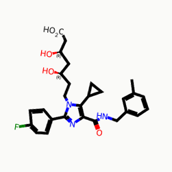 Cc1cccc(CNC(=O)c2nc(-c3ccc(F)cc3)n(CC[C@@H](O)C[C@@H](O)CC(=O)O)c2C2CC2)c1